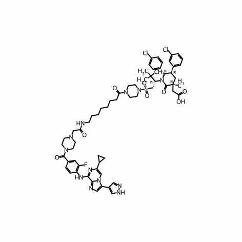 CC(C)(C)[C@@H](CS(=O)(=O)N1CCN(C(=O)CCCCCCCNC(=O)CN2CCN(C(=O)c3ccc(Nc4nc(C5CC5)cn5c(-c6cn[nH]c6)cnc45)c(F)c3)CC2)CC1)N1C(=O)[C@@](C)(CC(=O)O)C[C@H](c2cccc(Cl)c2)[C@H]1c1ccc(Cl)cc1